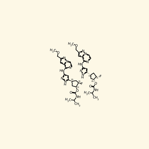 COCc1cc2c(Nc3cc([C@@H]4C[C@H](F)[C@H](OC(=O)NC(C)C)C4)[nH]n3)nccn2n1.COCc1cc2c(Nc3cc([C@H]4C[C@@H](F)[C@@H](OC(=O)NC(C)C)C4)[nH]n3)nccn2n1